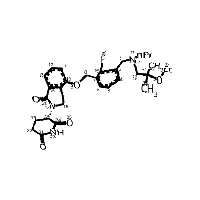 CCCN(Cc1cccc(COc2cccc3c2CN([C@H]2CCC(=O)NC2=O)C3=O)c1F)CC(C)(C)OCC